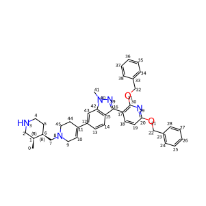 C[C@H]1CNCC[C@H]1CN1CC=C(c2ccc3c(-c4ccc(OCc5ccccc5)nc4OCc4ccccc4)nn(C)c3c2)CC1